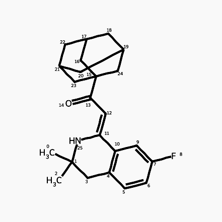 CC1(C)Cc2ccc(F)cc2C(=CC(=O)C23CC4CC(CC(C4)C2)C3)N1